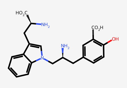 N[C@@H](Cc1ccc(O)c(C(=O)O)c1)Cn1cc(C[C@H](N)C(=O)O)c2ccccc21